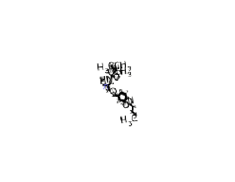 CCCCc1nc2ccc(COC/C(=C/F)CNC(=O)OC(C)(C)C)cc2o1